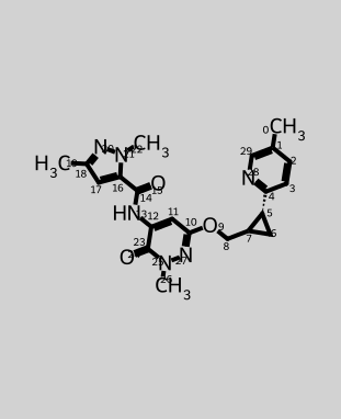 Cc1ccc([C@@H]2CC2COc2cc(NC(=O)c3cc(C)nn3C)c(=O)n(C)n2)nc1